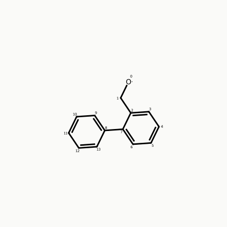 [O]Cc1ccccc1-c1ccccc1